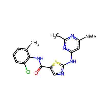 CNc1cc(Nc2ncc(C(=O)Nc3c(C)cccc3Cl)s2)nc(C)n1